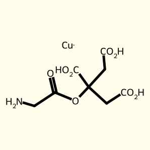 NCC(=O)OC(CC(=O)O)(CC(=O)O)C(=O)O.[Cu]